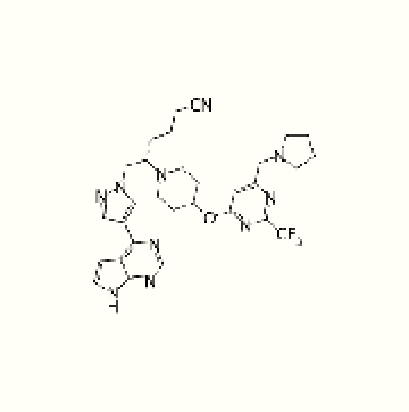 N#CCCC[C@@H](Cn1cc(-c2ncnc3[nH]ccc23)cn1)N1CCC(Oc2cc(CN3CCCC3)nc(C(F)(F)F)n2)CC1